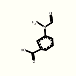 NN(C=O)c1cccc(C(=O)O)c1